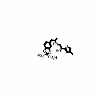 Cc1csc(C(O)CNC(C)Cc2ccc3c(c2)OC(C(=O)O)(C(=O)O)O3)c1